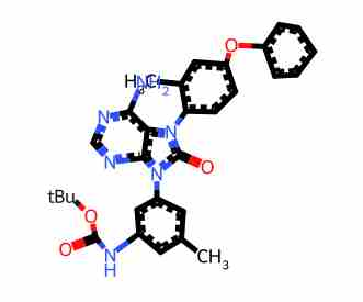 Cc1cc(NC(=O)OC(C)(C)C)cc(-n2c(=O)n(-c3ccc(Oc4ccccc4)cc3C)c3c(N)ncnc32)c1